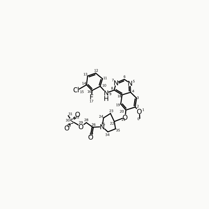 COc1cc2ncnc(Nc3cccc(Cl)c3F)c2cc1OC1CCN(C(=O)COS(C)(=O)=O)CC1